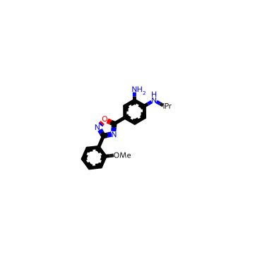 COc1ccccc1-c1noc(-c2ccc(NC(C)C)c(N)c2)n1